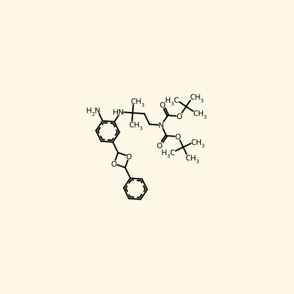 CC(C)(CCN(C(=O)OC(C)(C)C)C(=O)OC(C)(C)C)Nc1cc(C2OC(c3ccccc3)O2)ccc1N